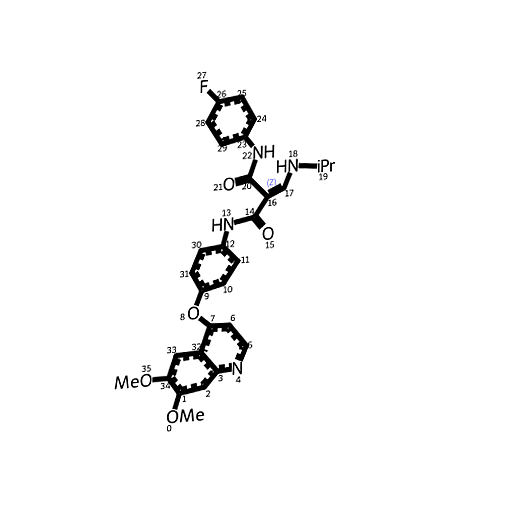 COc1cc2nccc(Oc3ccc(NC(=O)/C(=C/NC(C)C)C(=O)Nc4ccc(F)cc4)cc3)c2cc1OC